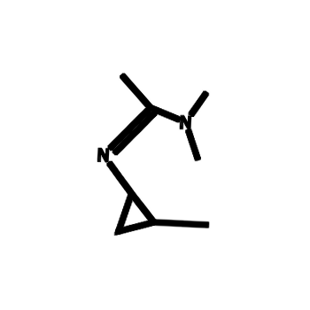 CC(=NC1CC1C)N(C)C